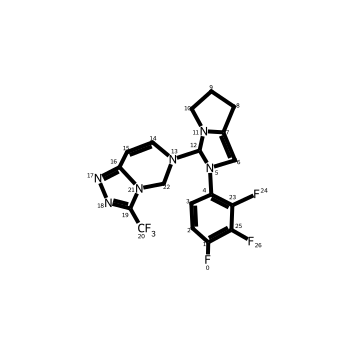 Fc1ccc(N2C=C3CCCN3C2N2C=Cc3nnc(C(F)(F)F)n3C2)c(F)c1F